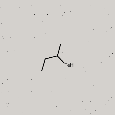 CCC(C)[TeH]